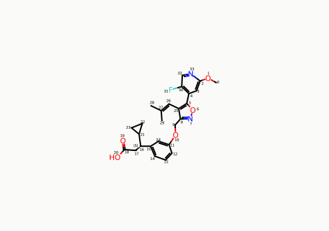 COc1cc(-c2onc(COc3cccc([C@@H](CC(=O)O)C4CC4)c3)c2C=C(C)C)c(F)cn1